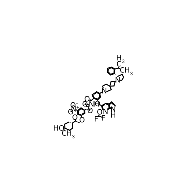 CC(C)c1ccccc1[C@@H]1CCCN1C1CC2(CCN(c3ccc(C(=O)NS(=O)(=O)c4cc5c(c([N+](=O)[O-])c4)O[C@H]([C@H]4CC[C@](C)(O)CC4)CO5)c(Oc4cc5cc[nH]c5nc4OC(F)F)c3)CC2)C1